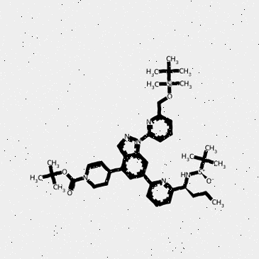 CCC[C@H](N[S@+]([O-])C(C)(C)C)c1cccc(-c2cc(C3C=CN(C(=O)OC(C)(C)C)CC3)c3cnn(-c4cccc(CO[Si](C)(C)C(C)(C)C)n4)c3c2)n1